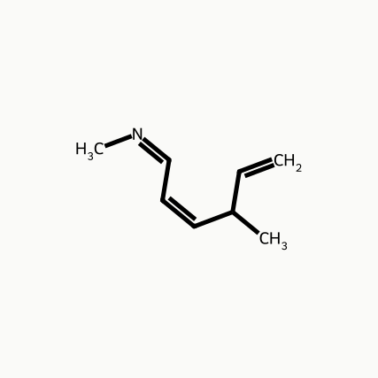 C=CC(C)/C=C\C=N/C